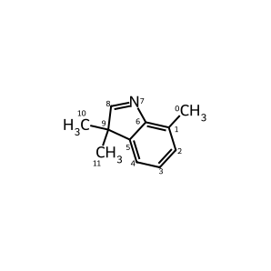 Cc1cccc2c1N=CC2(C)C